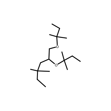 CCC(C)(C)CC(COC(C)(C)CC)OC(C)(C)CC